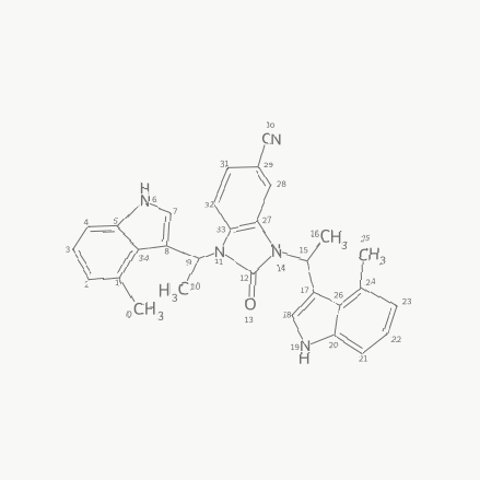 Cc1cccc2[nH]cc(C(C)n3c(=O)n(C(C)c4c[nH]c5cccc(C)c45)c4cc(C#N)ccc43)c12